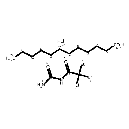 CCC(Br)(CC)C(=O)NC(N)=O.Cl.O=C(O)CCCCCCCCCCC(=O)O